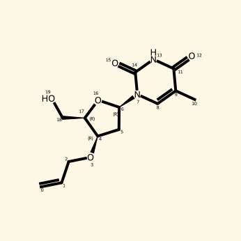 C=CCO[C@@H]1C[C@H](n2cc(C)c(=O)[nH]c2=O)O[C@@H]1CO